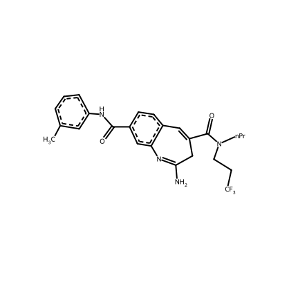 CCCN(CCC(F)(F)F)C(=O)C1=Cc2ccc(C(=O)Nc3cccc(C)c3)cc2N=C(N)C1